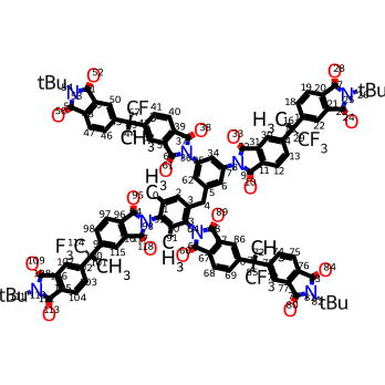 Cc1cc(Cc2cc(N3C(=O)c4ccc([C@@](C)(c5ccc6c(c5)C(=O)N(C(C)(C)C)C6=O)C(F)(F)F)cc4C3=O)cc(N3C(=O)c4ccc([C@](C)(c5ccc6c(c5)C(=O)N(C(C)(C)C)C6=O)C(F)(F)F)cc4C3=O)c2)c(N2C(=O)c3ccc([C@](C)(c4ccc5c(c4)C(=O)N(C(C)(C)C)C5=O)C(F)(F)F)cc3C2=O)c(C)c1N1C(=O)c2ccc([C@@](C)(c3ccc4c(c3)C(=O)N(C(C)(C)C)C4=O)C(F)(F)F)cc2C1=O